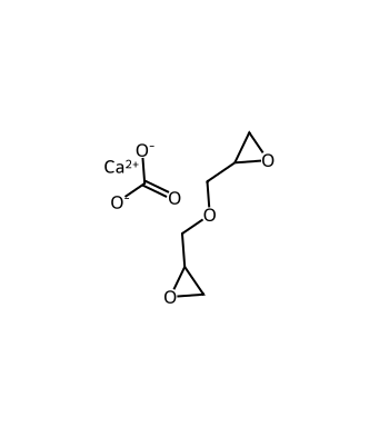 C(OCC1CO1)C1CO1.O=C([O-])[O-].[Ca+2]